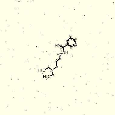 CCN(CC)CCCONC(=N)c1cccnc1